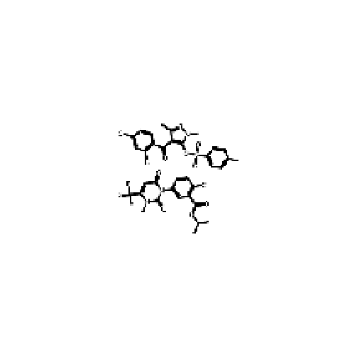 CC(C)OC(=O)c1cc(-n2c(=O)cc(C(F)(F)F)n(C)c2=O)ccc1Cl.Cc1ccc(S(=O)(=O)Oc2c(C(=O)c3ccc(Cl)cc3Cl)c(C)nn2C)cc1